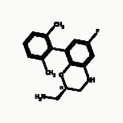 Cc1cccc(C)c1-c1cc(F)cc2c1O[C@H](CN)CN2